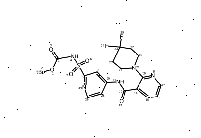 CC(C)(C)OC(=O)NS(=O)(=O)c1cc(NC(=O)c2cccnc2N2CCC(F)(F)CC2)ccn1